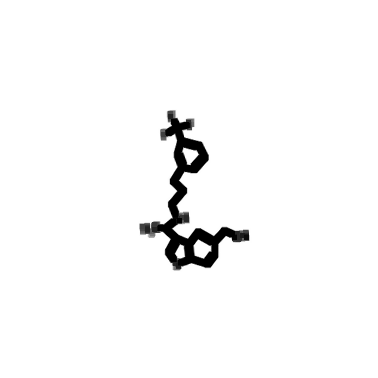 CC(NCCCc1cccc(C(F)(F)F)c1)c1csc2ccc(CO)cc12